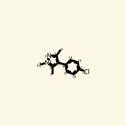 Cc1nn(I)c(C)c1-c1ccc(Cl)cc1